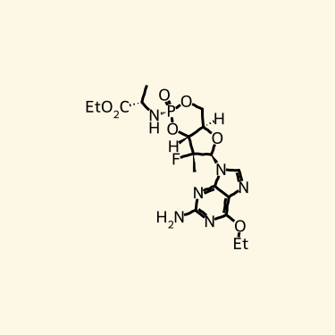 CCOC(=O)[C@H](C)N[P@]1(=O)OC[C@H]2O[C@@H](n3cnc4c(OCC)nc(N)nc43)[C@](C)(F)[C@@H]2O1